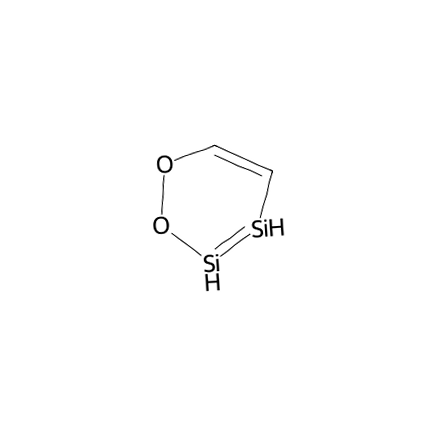 C1=C[SiH]=[SiH]OO1